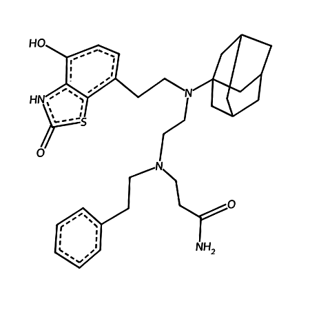 NC(=O)CCN(CCc1ccccc1)CCN(CCc1ccc(O)c2[nH]c(=O)sc12)C12CC3CC(CC(C3)C1)C2